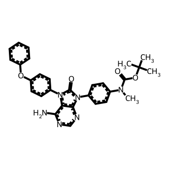 CN(C(=O)OC(C)(C)C)c1ccc(-n2c(=O)n(-c3ccc(Oc4ccccc4)cc3)c3c(N)ncnc32)cc1